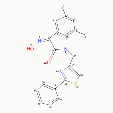 Cc1cc(C)c2c(c1)/C(=N/O)C(=O)N2Cc1csc(-c2ccccc2)n1